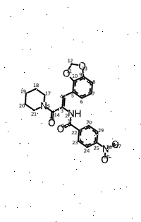 O=C(NC(=Cc1cccc2c1OCO2)C(=O)N1CCCCC1)c1ccc([N+](=O)[O-])cc1